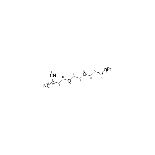 CCCOCCOCCOCCC(C#N)C#N